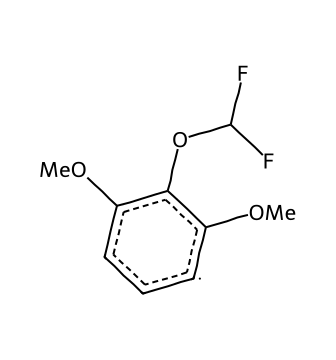 COc1[c]ccc(OC)c1OC(F)F